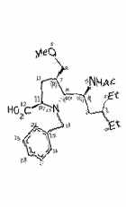 CCC(CC)C[C@H](NC(C)=O)[C@H]1[C@H](COC)C[C@H](C(=O)O)N1Cc1ccccc1